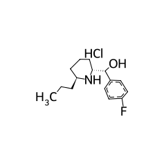 CCC[C@H]1CCC[C@H](C(O)c2ccc(F)cc2)N1.Cl